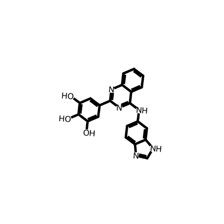 Oc1cc(-c2nc(Nc3ccc4nc[nH]c4c3)c3ccccc3n2)cc(O)c1O